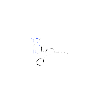 Cc1nnc2n1-c1sc(CCC(=O)O)cc1C(c1ccccc1C(F)(F)F)=NC2